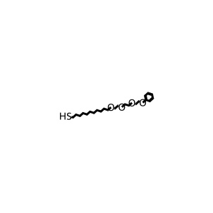 SCCCCCCCCCCCOCCOCCOCCOc1ccccc1